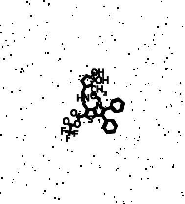 COCn1c(-c2ccccc2)c(-c2ccccc2)c2sc(C(=O)OC(=O)C(F)(F)F)c(CNCC3CCS(O)(O)C3)c21